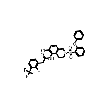 O=C(Cc1cccc(C(F)(F)F)c1F)Nc1c(Cl)ccc2c1CCN(S(=O)(=O)c1ccccc1Oc1ccccc1)C2